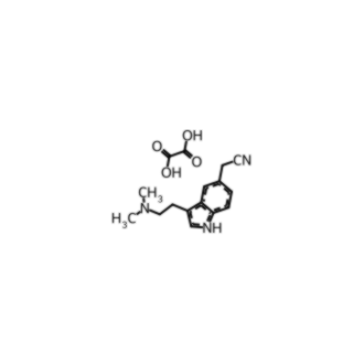 CN(C)CCc1c[nH]c2ccc(CC#N)cc12.O=C(O)C(=O)O